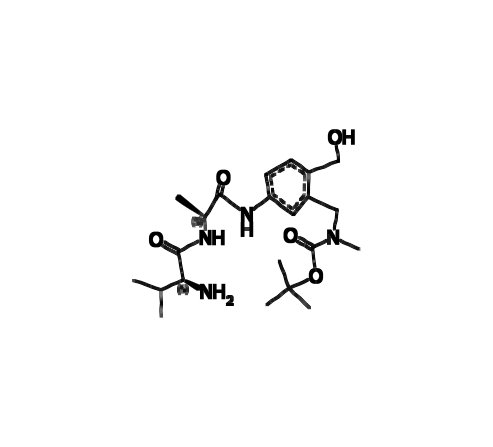 CC(C)[C@H](N)C(=O)N[C@@H](C)C(=O)Nc1ccc(CO)c(CN(C)C(=O)OC(C)(C)C)c1